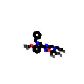 CCN(Cc1nc(-c2cn(CC3CCCCC3)c3c(OC)cccc23)no1)C(C)C